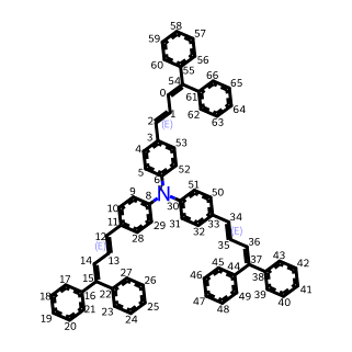 C(/C=C/c1ccc(N(c2ccc(/C=C/C=C(c3ccccc3)c3ccccc3)cc2)c2ccc(/C=C/C=C(c3ccccc3)c3ccccc3)cc2)cc1)=C(c1ccccc1)c1ccccc1